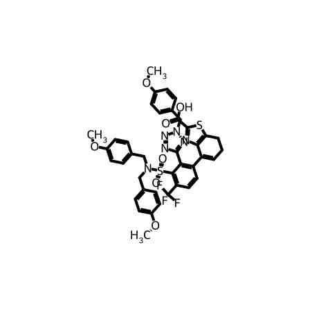 COc1ccc(CN(Cc2ccc(OC)cc2)S(=O)(=O)c2c(C(F)(F)F)ccc(C3=CCCc4sc(C(=O)O)nc43)c2-c2nnn(Cc3ccc(OC)cc3)n2)cc1